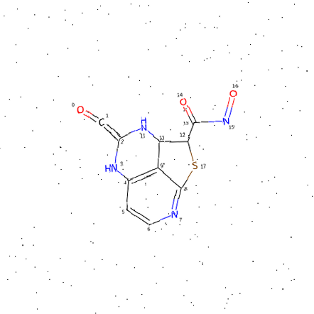 O=C=C1Nc2ccnc3c2C(N1)C(C(=O)N=O)S3